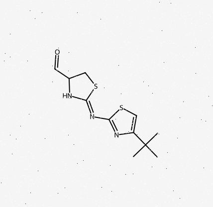 CC(C)(C)c1csc(N=C2NC(C=O)CS2)n1